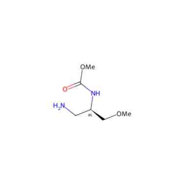 COC[C@@H](CN)NC(=O)OC